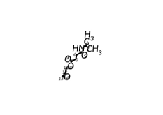 CC(C)NC(=O)CCC(=O)OCC1CO1